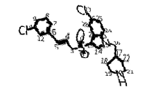 O=S(=O)(CC=Cc1cccc(Cl)c1)c1cn(CC2CCNCC2)c2ccc(Cl)cc12